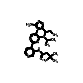 CCC1c2nnc(C)n2-c2cnc(-c3ccncc3NC(=O)CC(C)(C)C)nc2N1C(C)C